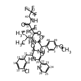 COc1ccc(C(NC(=O)C(Cc2cccc(Cl)c2)NC(=O)c2ccccn2)C(=O)N[C@H](C(=O)C(F)(F)C(=O)NCC(F)(F)F)C(C)C)cc1